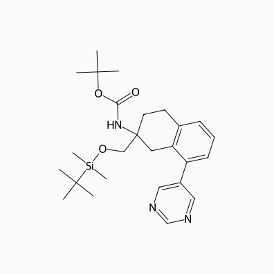 CC(C)(C)OC(=O)NC1(CO[Si](C)(C)C(C)(C)C)CCc2cccc(-c3cncnc3)c2C1